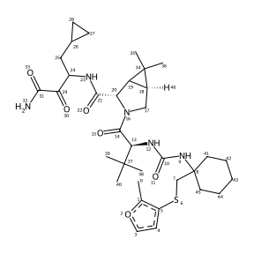 Cc1occc1SCC1(NC(=O)N[C@H](C(=O)N2C[C@H]3C([C@H]2C(=O)NC(CC2CC2)C(=O)C(N)=O)C3(C)C)C(C)(C)C)CCCCC1